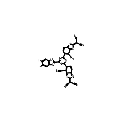 N#CC(C#N)=C1N=c2ccc(-c3nc(-c4nc5cc(F)c(F)cc5o4)nc(-c4ccc5c(c4C#N)=NC(=C(C#N)C#N)N=5)n3)c(C#N)c2=N1